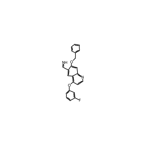 N=Cc1cc2c(Oc3cccc(F)c3)ccnc2cc1OCc1ccccc1